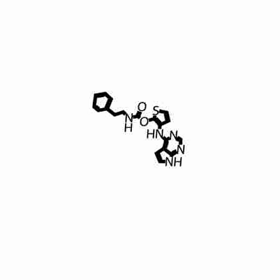 O=C(NCCc1ccccc1)Oc1sccc1Nc1ncnc2[nH]ccc12